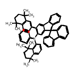 CC1(C)CCC(C)(C)c2cc(-c3cc4c(cc3N(c3ccccc3)c3cccc5c3C(C)(C)CCC5(C)C)C3(c5ccccc5-c5ccccc53)c3ccccc3-4)ccc21